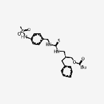 CC(C)(C)C(=O)OCC(CNC(=S)NCc1ccc(NS(C)(=O)=O)cc1)Cc1ccccc1